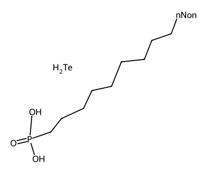 CCCCCCCCCCCCCCCCCCP(=O)(O)O.[TeH2]